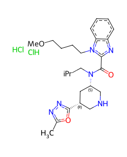 COCCCCn1c(C(=O)N(CC(C)C)[C@@H]2CNC[C@H](c3nnc(C)o3)C2)nc2ccccc21.Cl.Cl